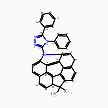 CC1(C)c2ccc3c4c2c2c5c(ccc6c5c4c(n6-c4nnc(-c5ccccc5)n4-c4ccccc4)=CC3)C=CC21